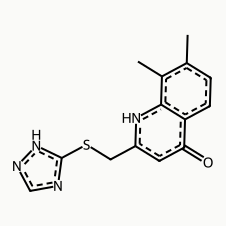 Cc1ccc2c(=O)cc(CSc3ncn[nH]3)[nH]c2c1C